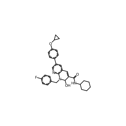 O=C(NC1CCCCC1)C1=Cc2cc(-c3ccc(OC4CC4)cc3)cnc2N(Cc2ccc(F)cc2)C1O